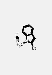 CCc1cc2ccccc2[s+]1C(F)(F)F.[C-]#N